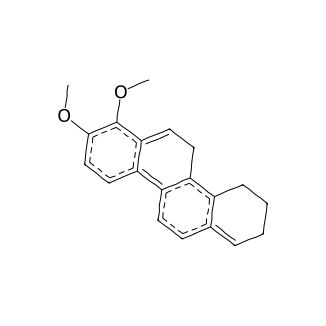 COc1ccc2c(c1OC)=CCc1c3c(ccc1=2)=CCCC3